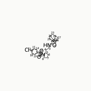 O=C(NCCC1CCCN1S(=O)(=O)c1ccc(Cl)cc1)C12CC3CC(CC(C3)C1)C2